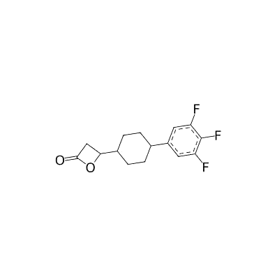 O=C1CC(C2CCC(c3cc(F)c(F)c(F)c3)CC2)O1